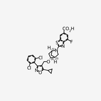 O=C(O)c1cc(F)c2nc(N3C[C@@H]4C[C@H]3C[C@H]4OCc3c(-c4c(Cl)cccc4Cl)noc3C3CC3)sc2c1